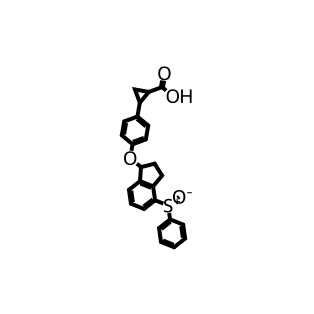 O=C(O)C1CC1c1ccc(OC2CCc3c2cccc3[S+]([O-])c2ccccc2)cc1